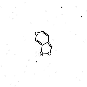 C1=CC2=CONC2=CO1